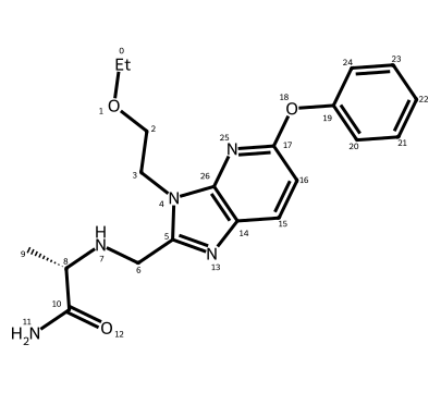 CCOCCn1c(CN[C@@H](C)C(N)=O)nc2ccc(Oc3ccccc3)nc21